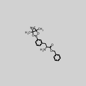 CC1(C)OB(c2cccc(C[C@H](N)C(=O)OCc3ccccc3)c2)OC1(C)C